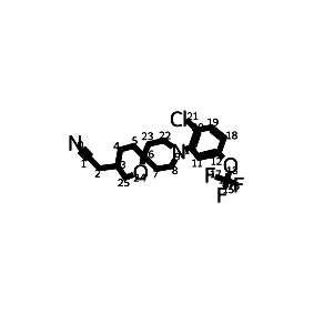 N#CCC1CCC2(CCN(c3cc(OC(F)(F)F)ccc3Cl)CC2)OC1